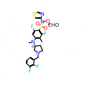 Cc1c(N(C)[C@H]2CCN(Cc3cccc(F)c3F)C2)cc(F)c(S(=O)(=O)N(OC=O)c2cscn2)c1F